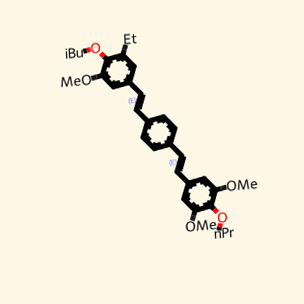 CCCOc1c(OC)cc(/C=C/c2ccc(/C=C/c3cc(CC)c(OC(C)CC)c(OC)c3)cc2)cc1OC